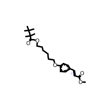 COC(=O)/C=C/c1ccc(OCCCCCCOC(=O)C(C)(C)C(C)(C)C)cc1